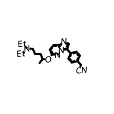 CCN(CC)CCCC(C)Oc1ccc2ncc(-c3ccc(CC#N)cc3)n2n1